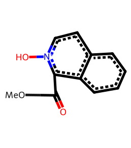 COC(=O)c1c2ccccc2cc[n+]1O